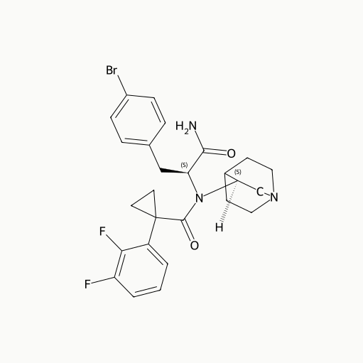 NC(=O)[C@H](Cc1ccc(Br)cc1)N(C(=O)C1(c2cccc(F)c2F)CC1)[C@@H]1CN2CCC1CC2